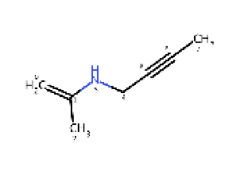 C=C(C)NCC#CC